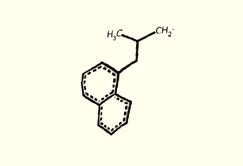 [CH2]C(C)Cc1cccc2ccccc12